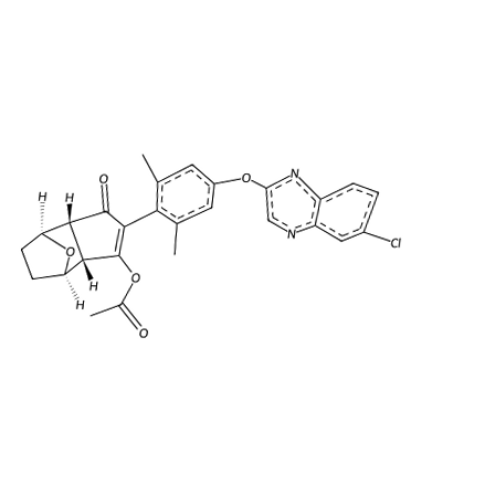 CC(=O)OC1=C(c2c(C)cc(Oc3cnc4cc(Cl)ccc4n3)cc2C)C(=O)[C@@H]2[C@H]1[C@H]1CC[C@@H]2O1